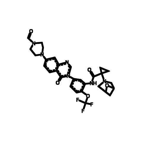 O=CN1CCN(c2ccc3c(=O)n(-c4ccc(OC(F)(F)F)c(NC(=O)C5(N6CC7CC(C6)O7)CC5)c4)cnc3c2)CC1